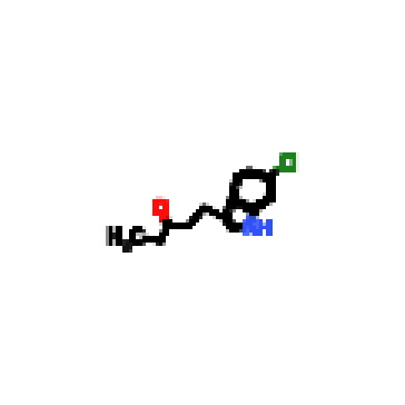 CCC(=O)CCc1c[nH]c2cc(Cl)ccc12